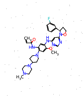 C=CC(=O)Nc1cc(Nc2cc(N3OCC[C@@H]3c3cccc(F)c3)ncn2)c(OC)cc1N1CCC(N2CCN(C)CC2)CC1